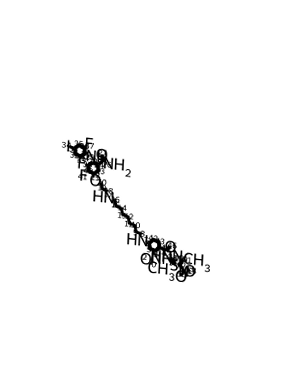 CC(=O)Nc1cc(NCCCCCCCCCNCCCOc2cc(C(N)=O)c(Nc3ccc(I)cc3F)c(F)c2F)ccc1C(=O)Nc1nc(C)c([N+](=O)[O-])s1